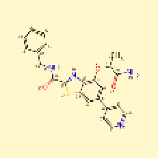 CC(Oc1cc(-c2ccncc2)cc2sc(C(=O)NCc3ccccc3)nc12)C(N)=O